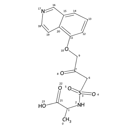 CC(NS(=O)(=O)CC(=O)COc1cccc2cnccc12)C(=O)O